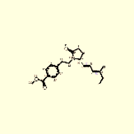 CC/C(C)=C/C=C/[C@H]1CCC(=O)N1CCc1ccc(C(=O)OC)cc1